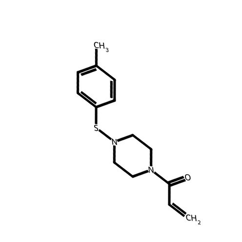 C=CC(=O)N1CCN(Sc2ccc(C)cc2)CC1